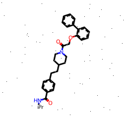 CC(C)NC(=O)c1ccc(CCC2CCN(C(=O)COc3ccccc3-c3ccccc3)CC2)cc1